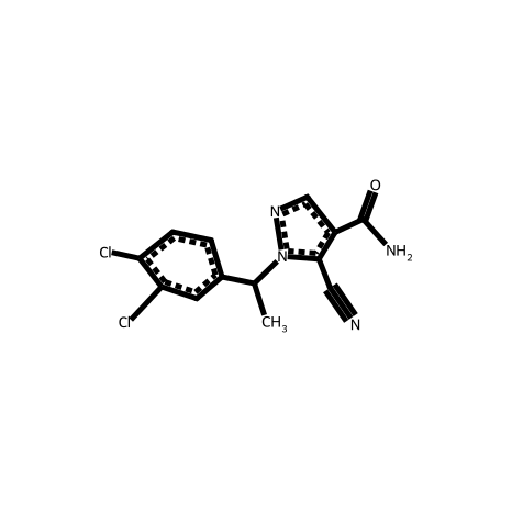 CC(c1ccc(Cl)c(Cl)c1)n1ncc(C(N)=O)c1C#N